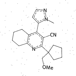 COCC1(c2nc3c(c(-c4ccnn4C)c2C#N)CCCC3)CCCC1